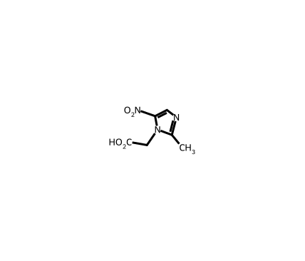 Cc1ncc([N+](=O)[O-])n1CC(=O)O